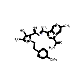 COc1ccc(CCn2nc(C)c(O)c2C(=N)/N=C(\N)c2nc(C(N)=O)n3cc(C)ncc23)cc1